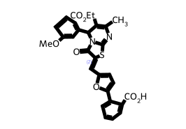 CCOC(=O)C1=C(C)N=c2s/c(=C\c3ccc(-c4ccccc4C(=O)O)o3)c(=O)n2C1c1cccc(OC)c1